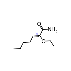 CCCC/C=C(\OCC)C(N)=O